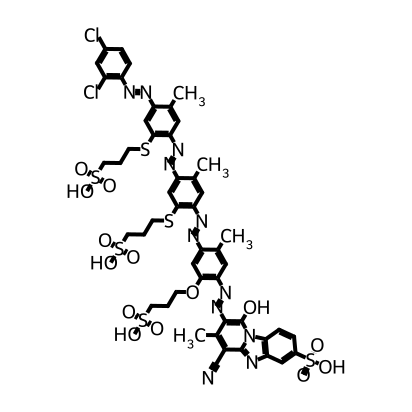 Cc1cc(N=Nc2cc(SCCCS(=O)(=O)O)c(N=Nc3cc(OCCCS(=O)(=O)O)c(N=Nc4c(C)c(C#N)c5nc6cc(S(=O)(=O)O)ccc6n5c4O)cc3C)cc2C)c(SCCCS(=O)(=O)O)cc1N=Nc1ccc(Cl)cc1Cl